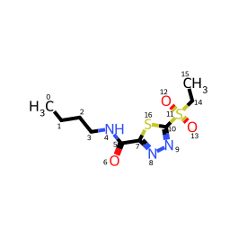 CCCCNC(=O)c1nnc(S(=O)(=O)CC)s1